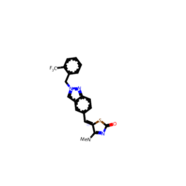 CNC1=NC(=O)S/C1=C\c1ccc2nn(Cc3ccccc3C(F)(F)F)cc2c1